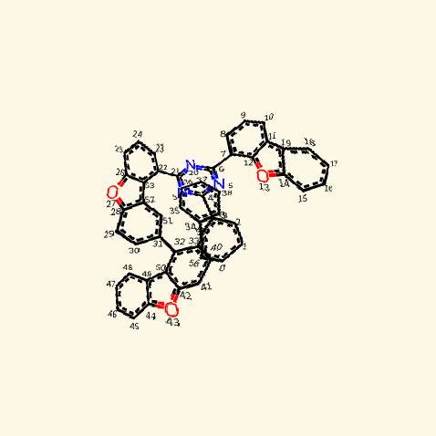 c1ccc(-c2nc(-c3cccc4c3oc3ccccc34)nc(-c3cccc4oc5ccc(-c6c(-c7ccccc7)ccc7oc8ccccc8c67)cc5c34)n2)cc1